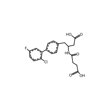 O=C(O)CCC(=O)NC(CC(=O)O)Cc1ccc(-c2cc(F)ccc2Cl)cc1